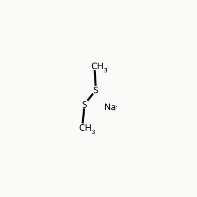 CSSC.[Na]